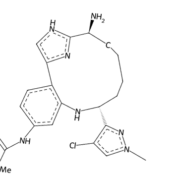 COC(=O)Nc1ccc2c(c1)N[C@@H](c1nn(C)cc1Cl)CCCC[C@H](N)c1nc-2c[nH]1